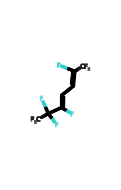 FC(=CC=C(F)C(F)(F)C(F)(F)F)C(F)(F)F